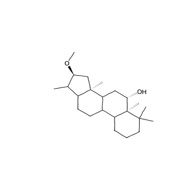 CO[C@H]1C[C@@]2(C)C3C[C@H](O)[C@]4(C)C(CCCC4(C)C)C3CCC2C1C